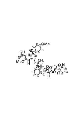 COC(=N[N+](=O)O)NC(CCC(C)(C)CC[C@@H](O)[C@H](Cc1ccccc1)NC(=O)O[C@H]1CO[C@H]2OCC[C@H]21)NS(=O)(=O)c1ccc(OC)cc1